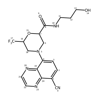 N#Cc1ccc(N2CC(C(=O)NCCCO)OC(C(F)(F)F)C2)c2nccnc12